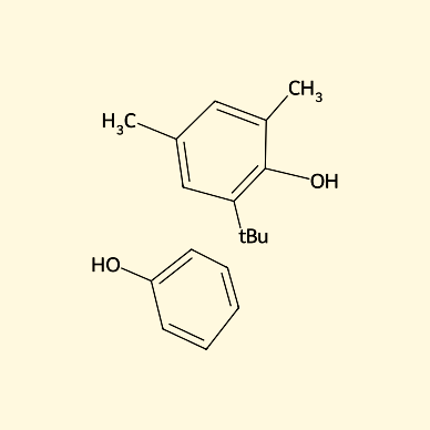 Cc1cc(C)c(O)c(C(C)(C)C)c1.Oc1ccccc1